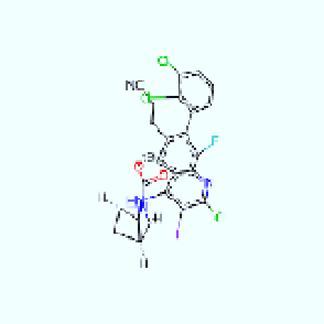 CC(C)(C)OC(=O)N1C[C@H]2C[C@@H]1[C@H]2Nc1c(I)c(Cl)nc2c(F)c(-c3cccc(Cl)c3Cl)c(CCC#N)cc12